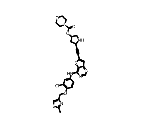 Cc1nc(COc2ccc(Nc3ncnc4cc(C#CC5CC(OC(=O)N6CCOCC6)CN5)sc34)cc2Cl)cs1